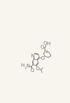 CC(C)Oc1cc2c(O[C@@H]3CCCN(C(=O)CO)C3)ccnc2cc1C(N)=O